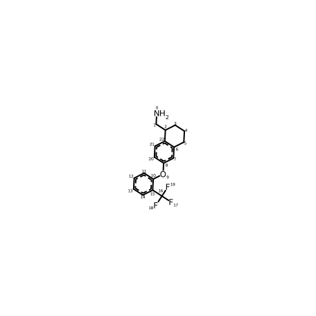 NCC1CCCc2cc(Oc3ccccc3C(F)(F)F)ccc21